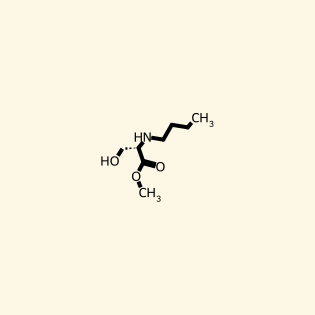 CCCCN[C@@H](CO)C(=O)OC